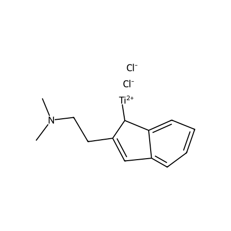 CN(C)CCC1=Cc2ccccc2[CH]1[Ti+2].[Cl-].[Cl-]